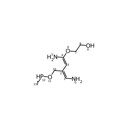 N/C=C(\C=C(/N)OCCO)COPI